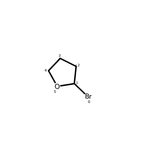 BrC1[CH]CCO1